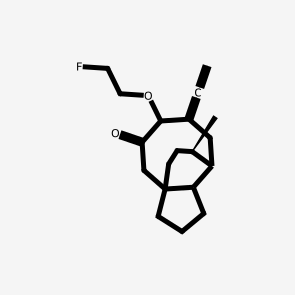 C=C=C1CC2C3CCCC3(CC[C@H]2C)CC(=O)C1OCCF